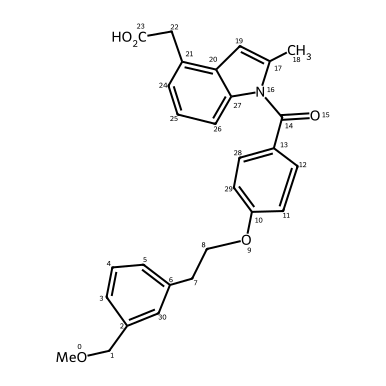 COCc1cccc(CCOc2ccc(C(=O)n3c(C)cc4c(CC(=O)O)cccc43)cc2)c1